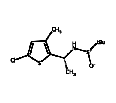 Cc1cc(Cl)sc1[C@@H](C)N[S+]([O-])C(C)(C)C